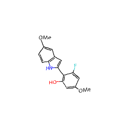 COc1cc(O)c(-c2cc3cc(OC)ccc3[nH]2)c(F)c1